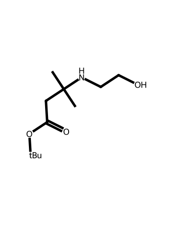 CC(C)(CC(=O)OC(C)(C)C)NCCO